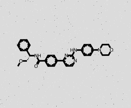 COC[C@@H](NC(=O)c1ccc(-c2ccnc(Nc3ccc(N4CCOCC4)cc3)n2)cc1)c1ccccc1